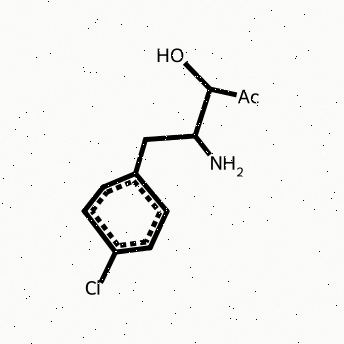 CC(=O)C(O)C(N)Cc1ccc(Cl)cc1